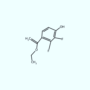 C=C(OCC)c1ccc(O)c(F)c1F